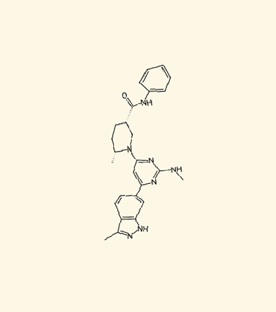 CNc1nc(-c2ccc3c(C)n[nH]c3c2)cc(N2C[C@@H](C(=O)Nc3ccccc3)CC[C@H]2C)n1